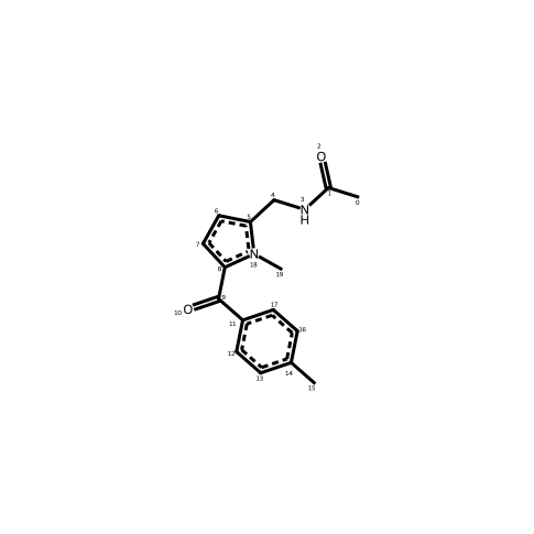 CC(=O)NCc1ccc(C(=O)c2ccc(C)cc2)n1C